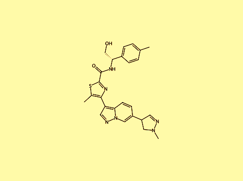 Cc1ccc([C@@H](CO)NC(=O)c2nc(-c3cnn4cc(C5C=NN(C)C5)ccc34)c(C)s2)cc1